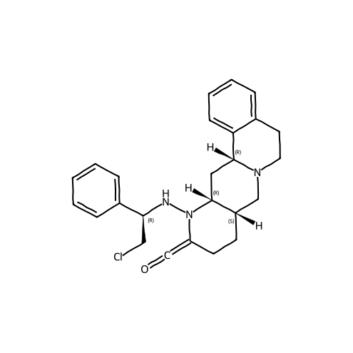 O=C=C1CC[C@H]2CN3CCc4ccccc4[C@H]3C[C@H]2N1N[C@@H](CCl)c1ccccc1